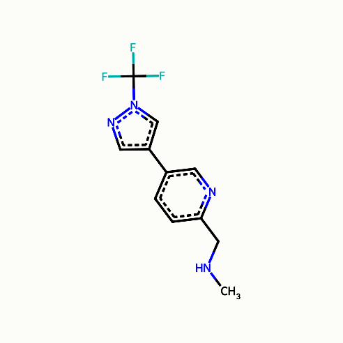 CNCc1ccc(-c2cnn(C(F)(F)F)c2)cn1